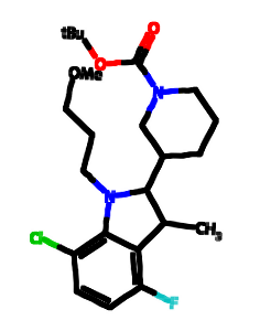 COCCCN1c2c(Cl)ccc(F)c2C(C)C1C1CCCN(C(=O)OC(C)(C)C)C1